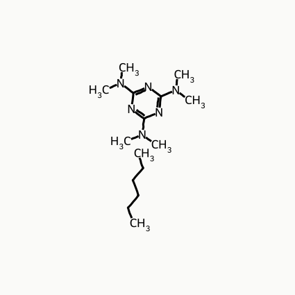 CCCCCC.CN(C)c1nc(N(C)C)nc(N(C)C)n1